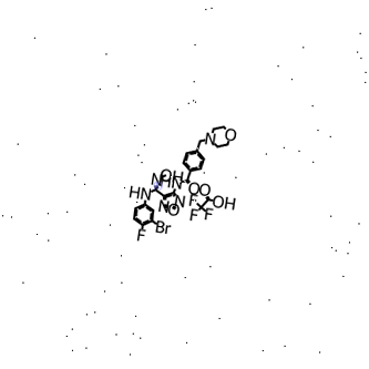 O=C(Nc1nonc1/C(=N\O)Nc1ccc(F)c(Br)c1)c1ccc(CN2CCOCC2)cc1.O=C(O)C(F)(F)F